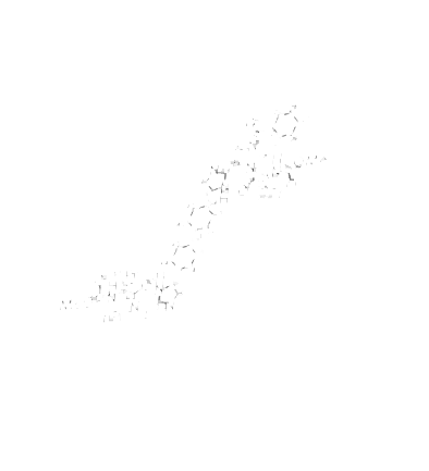 CCCN(Cc1ncc(-c2ccc(-c3ccc(-c4cnc([C@@H]5CN(C(=O)c6ccccc6)CN5C(=O)[C@@H](NC(=O)OC)C(C)C)[nH]4)cc3)cc2)[nH]1)C(=O)[C@@H](NC(=O)OC)C(C)C